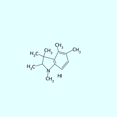 Cc1ccc2c(c1C)C(C)(C)C(C)N2C.I